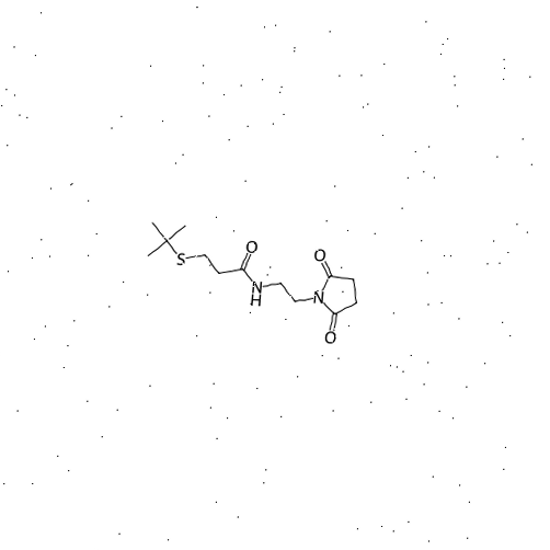 CC(C)(C)SCCC(=O)NCCN1C(=O)CCC1=O